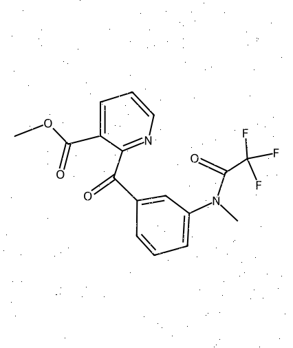 COC(=O)c1cccnc1C(=O)c1cccc(N(C)C(=O)C(F)(F)F)c1